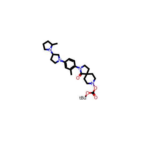 Cc1cc(N2CCC(N3CCCC3C)C2)ccc1N1CCC2(CCN(OC(=O)OC(C)(C)C)CC2)C1=O